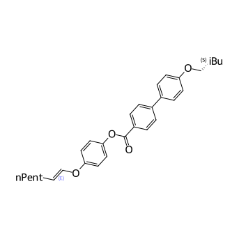 CCCCC/C=C/Oc1ccc(OC(=O)c2ccc(-c3ccc(OC[C@@H](C)CC)cc3)cc2)cc1